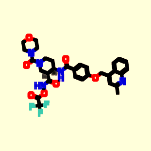 Cc1cc(COc2ccc(C(=O)N[C@@H]3CCN(C(=O)N4CCOCC4)C[C@@H]3C(=O)NOC(=O)C(F)(F)F)cc2)c2ccccc2n1